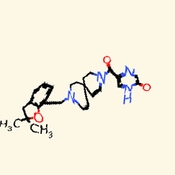 CC1(C)Cc2cccc(CN3CCC4(CC3)CCN(C(=O)c3c[nH]c(=O)cn3)CC4)c2O1